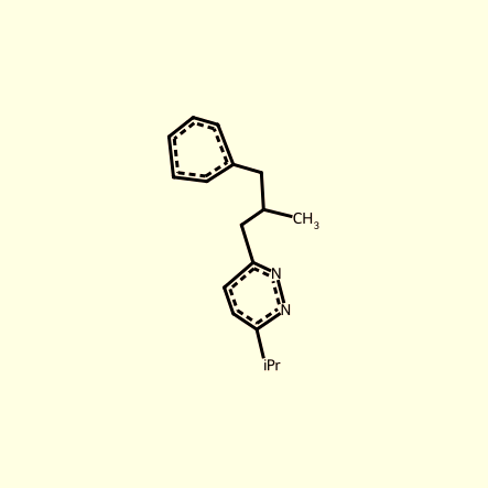 CC(Cc1ccccc1)Cc1ccc(C(C)C)nn1